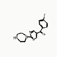 O=C(c1ccc(F)cc1)c1cnc(N2CCNCC2)nc1